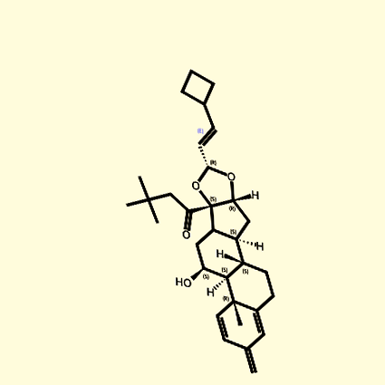 C=C1C=C[C@@]2(C)C(=C1)CC[C@@H]1[C@@H]2[C@@H](O)CC2[C@H]1C[C@H]1O[C@@H](/C=C/C3CCC3)O[C@@]21C(=O)CC(C)(C)C